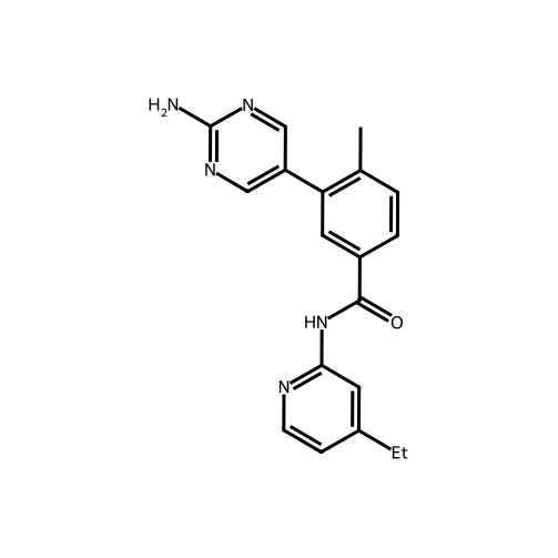 CCc1ccnc(NC(=O)c2ccc(C)c(-c3cnc(N)nc3)c2)c1